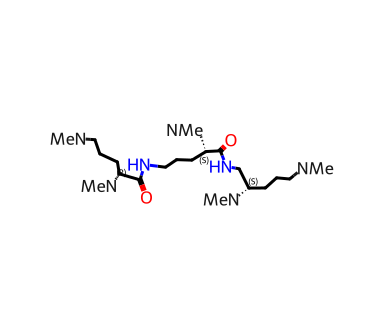 CNCCC[C@@H](CNC(=O)[C@H](CCCNC(=O)[C@@H](CCCNC)NC)NC)NC